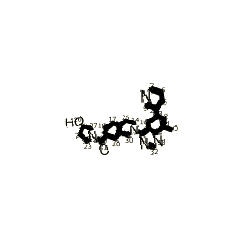 Cc1cc(-c2cccnc2)cc2c(N3CCc4ccc(C(=O)N5CC[C@@H](O)C5)cc4C3)ncnc12